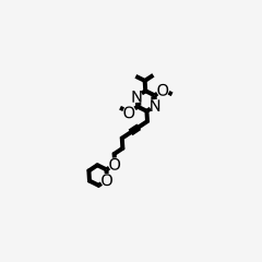 COC1=NC(C(C)C)C(OC)=NC1CC#CCCCOC1CCCCO1